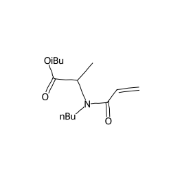 C=CC(=O)N(CCCC)C(C)C(=O)OCC(C)C